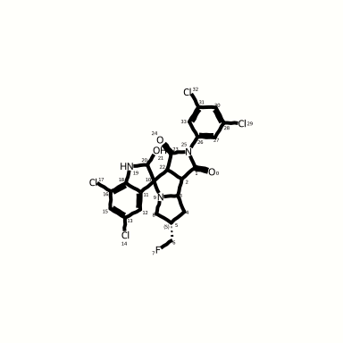 O=C1C2C3C[C@H](CF)CN3C3(c4cc(Cl)cc(Cl)c4NC3O)C2C(=O)N1c1cc(Cl)cc(Cl)c1